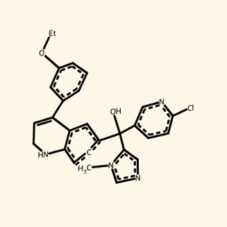 CCOc1cccc(C2=CCNc3ccc(C(O)(c4ccc(Cl)nc4)c4cncn4C)cc32)c1